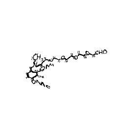 COc1ccc(CN(C)CCOCCOCCOCCOCC=O)c(OC)c1